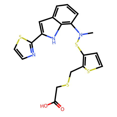 CN(Sc1ccsc1CSCC(=O)O)c1cccc2cc(-c3nccs3)[nH]c12